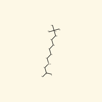 CC(C)CSCCCCCCC(C)(C)C